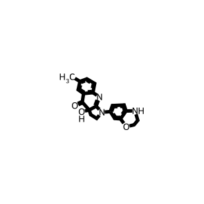 Cc1ccc2c(c1)C(=O)C1(O)CCN(c3ccc4c(c3)OCCN4)C1=N2